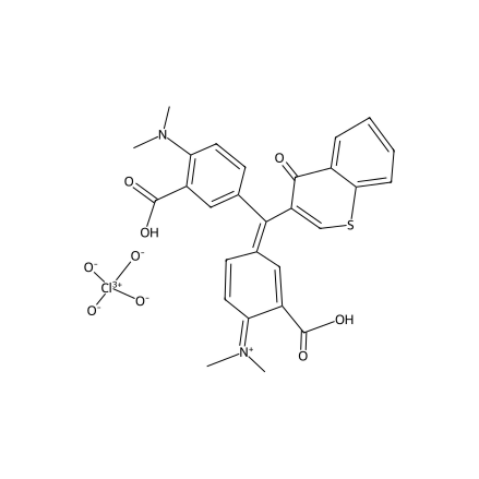 CN(C)c1ccc(C(=C2C=CC(=[N+](C)C)C(C(=O)O)=C2)c2csc3ccccc3c2=O)cc1C(=O)O.[O-][Cl+3]([O-])([O-])[O-]